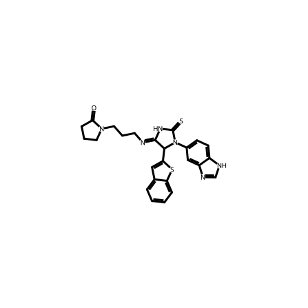 O=C1CCCN1CCC/N=C1\NC(=S)N(c2ccc3[nH]cnc3c2)C1c1cc2ccccc2s1